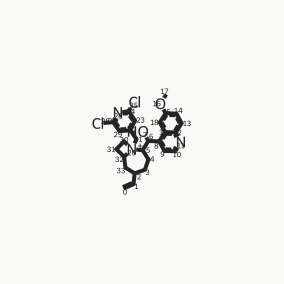 C=CC1CCC(C(O)c2ccnc3ccc(OC)cc23)[N+]2(Cc3cc(Cl)nc(Cl)c3)CCC2C1